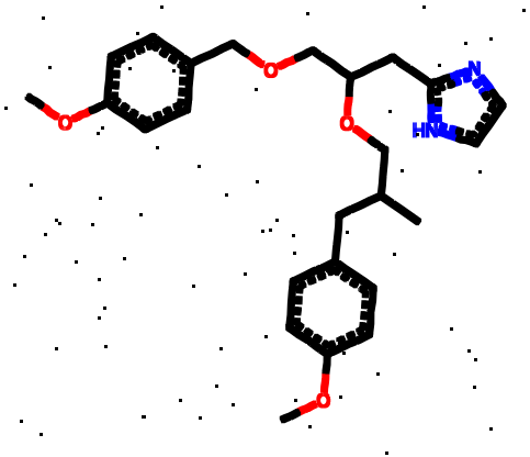 COc1ccc(COCC(Cc2ncc[nH]2)OCC(C)Cc2ccc(OC)cc2)cc1